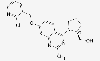 Cc1nc(N2CCC[C@H]2CO)c2ccc(OCc3cccnc3Cl)cc2n1